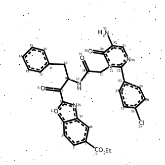 CCOC(=O)c1ccc2oc(C(=O)C(Cc3ccccc3)NC(=O)Cn3c(-c4ccc(Cl)cc4)ncc(N)c3=O)nc2c1